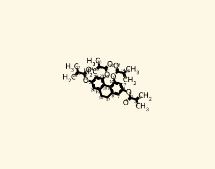 C=C(C)C(=O)Oc1cc2c(c(OC(=O)C(=C)C)c1)-c1c(cc(OC(=O)C(=C)C)cc1OC(=O)C(=C)C)CC2